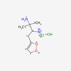 CC(C)(N)C(N)CC1=CCOO1.Cl.Cl